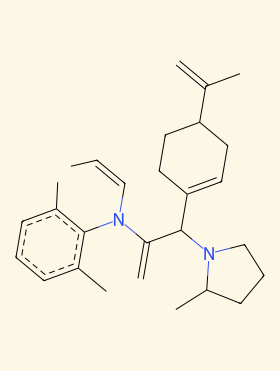 C=C(C)C1CC=C(C(C(=C)N(/C=C\C)c2c(C)cccc2C)N2CCCC2C)CC1